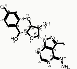 Cc1nn([C@@H]2O[C@H](C(O)c3ccc(Cl)cc3)[C@@H](O)[C@H]2O)c2[nH]cnc(=NN)c12